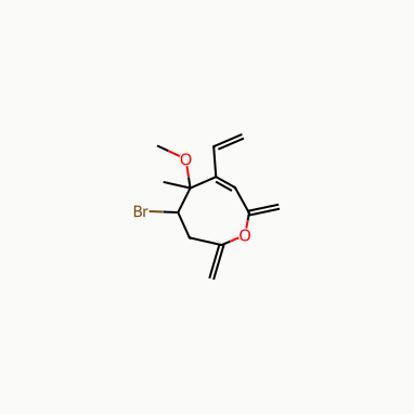 C=C/C1=C/C(=C)OC(=C)CC(Br)C1(C)OC